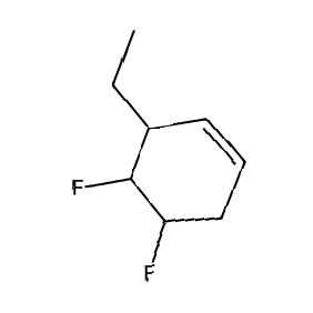 CCC1C=CCC(F)C1F